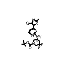 Cc1nc(Cl)c(-c2ccnc(N[C@@H]3CN(C(=O)OC(C)(C)C)CC(F)(F)C3)n2)s1